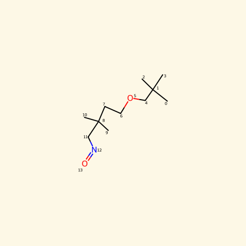 CC(C)(C)COCCC(C)(C)CN=O